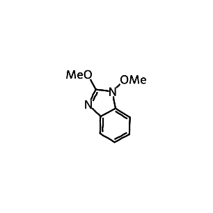 COc1nc2ccccc2n1OC